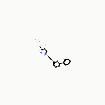 CCNCc1ccc(C#Cc2cccc(-c3ccccc3)c2C)nn1